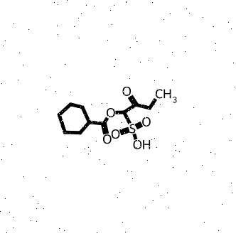 CCC(=O)C(OC(=O)C1CCCCC1)S(=O)(=O)O